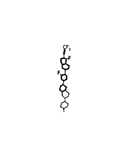 CC1CCC(C2CCc3cc(-c4ccc(-c5ccc6c(F)c(C#CC(F)(F)F)ccc6c5)c(F)c4)ccc3C2)CC1